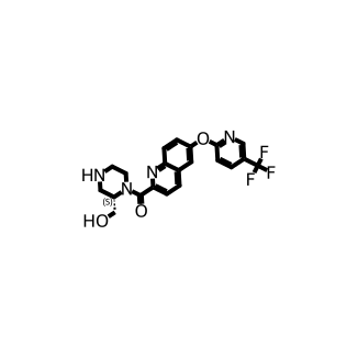 O=C(c1ccc2cc(Oc3ccc(C(F)(F)F)cn3)ccc2n1)N1CCNC[C@H]1CO